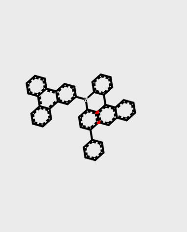 c1ccc(-c2ccc(N(c3ccc4c5ccccc5c5ccccc5c4c3)c3ccccc3-c3cccc4ccccc34)cc2)cc1